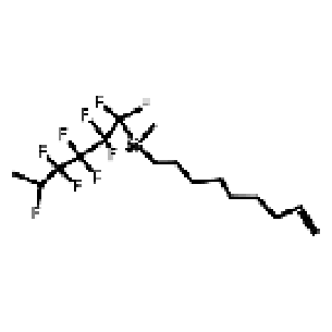 C=CCCCCCCC[Si](C)(C)C(F)(F)C(F)(F)C(F)(F)C(F)(F)C(C)F